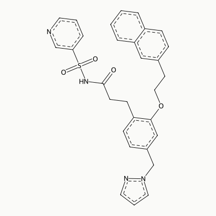 O=C(CCc1ccc(Cn2cccn2)cc1OCCc1ccc2ccccc2c1)NS(=O)(=O)c1cccnc1